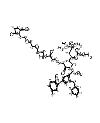 CC(C)(C)[C@H](c1cc(-c2cc(F)ccc2F)cn1Cc1ccccc1)N(CCC(CC[Si](C)(C)C)OC(N)=O)C(=O)CSCCC(=O)NCCOCCOCCN1C(=O)C=CC1=O